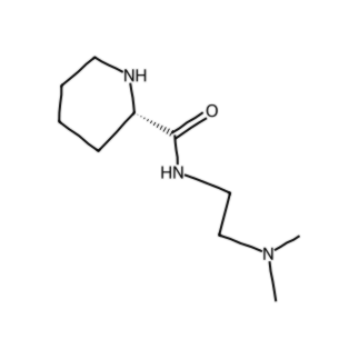 CN(C)CCNC(=O)[C@@H]1CCCCN1